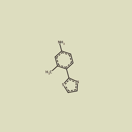 Cc1cc(N)ccc1-c1nccs1